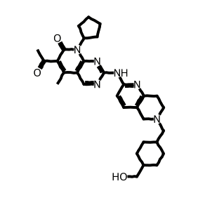 CC(=O)c1c(C)c2cnc(Nc3ccc4c(n3)CCN(CC3CCC(CO)CC3)C4)nc2n(C2CCCC2)c1=O